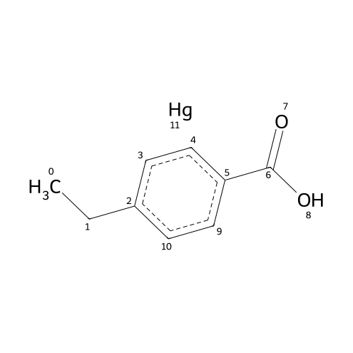 CCc1ccc(C(=O)O)cc1.[Hg]